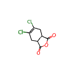 O=C1OC(=O)C2CC(Cl)=C(Cl)CC12